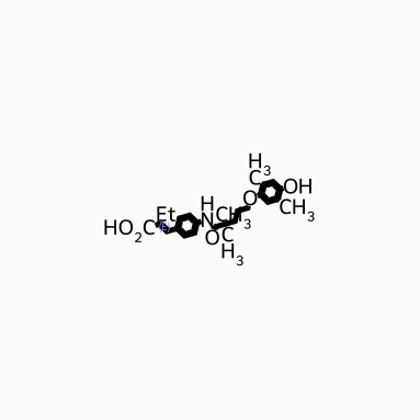 CC/C(=C\c1ccc(NC(=O)C(C)(C)CCCOc2cc(C)c(O)cc2C)cc1)C(=O)O